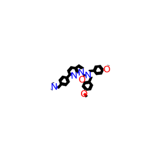 COc1ccc(CN(Cc2ccc(OC)cc2)C(=O)n2ccc3ccc(-c4ccc(CN(C)C)cc4)nc32)cc1